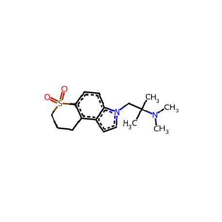 CN(C)C(C)(C)Cn1ccc2c3c(ccc21)S(=O)(=O)CCC3